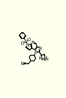 N#CCC1CCC(n2c(-c3cn[nH]n3)nc3cnc4c(ccn4S(=O)(=O)c4ccccc4)c32)CC1